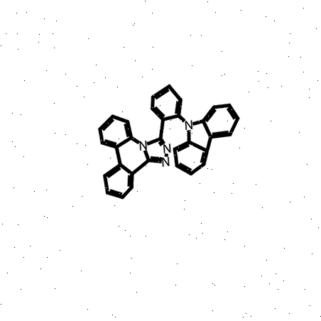 c1ccc(-n2c3ccccc3c3ccccc32)c(-c2nnc3c4ccccc4c4ccccc4n23)c1